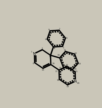 C1=NCC(c2ccccc2)(c2ccccc2)C(c2ccncc2)=C1